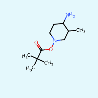 CC1CN(OC(=O)C(C)(C)C)CCC1N